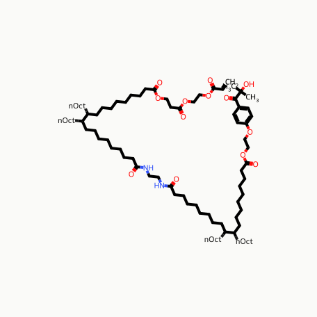 C=CC(=O)OCCOC(=O)CCOC(=O)CCCCCCCCC(CCCCCCCC)C(CCCCCCCC)CCCCCCCCC(=O)NCCNC(=O)CCCCCCCCC(CCCCCCCC)C(CCCCCCCC)CCCCCCCCC(=O)OCCOc1ccc(C(=O)C(C)(C)O)cc1